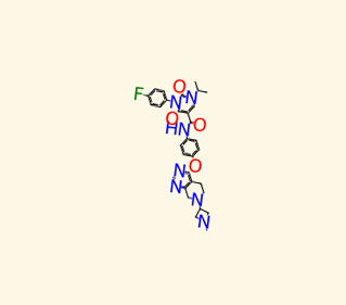 CC(C)n1cc(C(=O)Nc2ccc(Oc3ncnc4c3CCN(C3CN(C)C3)C4)cc2)c(=O)n(-c2ccc(F)cc2)c1=O